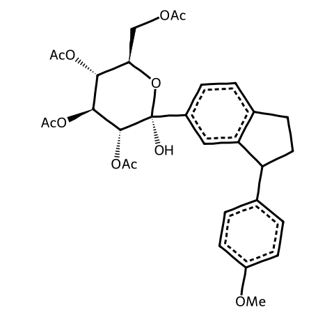 COc1ccc(C2CCc3ccc([C@]4(O)O[C@H](COC(C)=O)[C@@H](OC(C)=O)[C@H](OC(C)=O)[C@H]4OC(C)=O)cc32)cc1